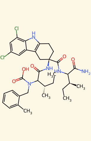 CC[C@H](C)C(NC(=O)[C@@]1(NC(=O)C([C@@H](C)CC)N(Cc2ccccc2C)C(=O)O)CCc2[nH]c3c(Cl)cc(Cl)cc3c2C1)C(N)=O